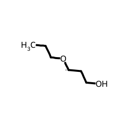 CCCO[CH]CCO